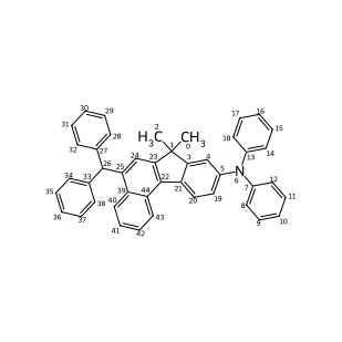 CC1(C)c2cc(N(c3ccccc3)c3ccccc3)ccc2-c2c1cc(C(c1ccccc1)c1ccccc1)c1ccccc21